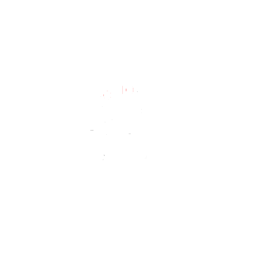 C=C(O)C12CCC(CC1=O)C2(C)C